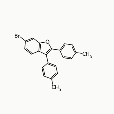 Cc1ccc(-c2oc3cc(Br)ccc3c2-c2ccc(C)cc2)cc1